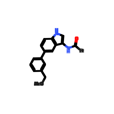 CCC(=O)Nc1c[nH]c2ccc(-c3cccc(COC)c3)cc12